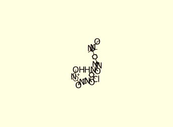 COCCn1nc(C)c(-c2ccc(-c3cnc(C(=O)Nc4ccc(C(=O)N5CCN(C(=O)C6CC[N+](C)(CCO)CC6)CC5)c(Cl)c4)n3C)cc2)c1C